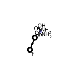 NN/C(Oc1ccc(C#Cc2cccc(F)c2)cc1)=C(\N)C(=O)O